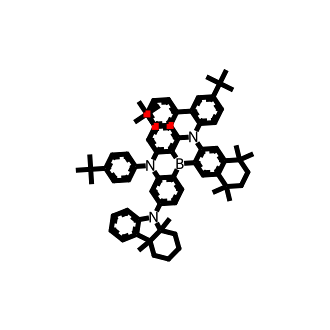 CC(C)(C)c1ccc(N2c3cc(N4c5ccccc5C5(C)CCCCC45C)ccc3B3c4cc5c(cc4N(c4ccc(C(C)(C)C)cc4-c4ccccc4)c4cc(C(C)(C)C)cc2c43)C(C)(C)CCC5(C)C)cc1